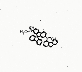 CCN(C)c1ccc2c(c1)C1(c3ccccc3-c3ccccc31)c1cc(N(CC)c3cccc4c3-c3ccccc3C4)ccc1-2